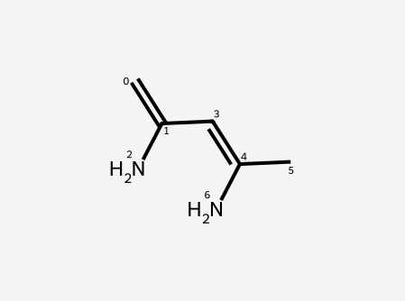 C=C(N)/C=C(/C)N